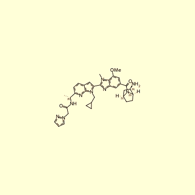 COc1cc(C(=O)N2[C@H]3CC[C@@H]2[C@H](N)C3)cc2nc(-c3cc4ccc([C@@H](C)NC(=O)Cn5cccn5)nc4n3CC3CC3)n(C)c12